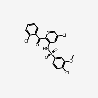 COc1cc(S(=O)(=O)Nc2cc(Cl)cnc2C(=O)c2ccccc2Cl)ccc1Cl